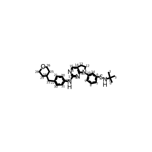 CC(C)(C)NSc1cccc(N2CCc3cnc(Nc4ccc(CC5CCOCC5)cc4)nc32)c1